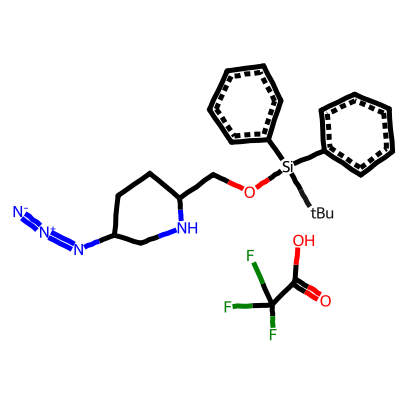 CC(C)(C)[Si](OCC1CCC(N=[N+]=[N-])CN1)(c1ccccc1)c1ccccc1.O=C(O)C(F)(F)F